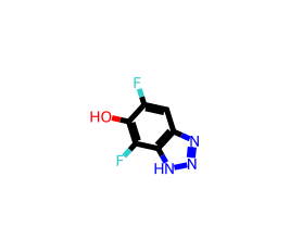 Oc1c(F)cc2nn[nH]c2c1F